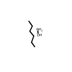 CCCCCC.NO